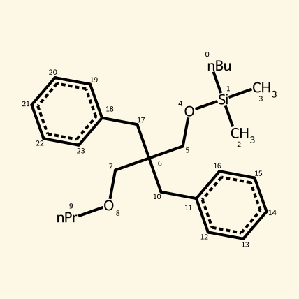 CCCC[Si](C)(C)OCC(COCCC)(Cc1ccccc1)Cc1ccccc1